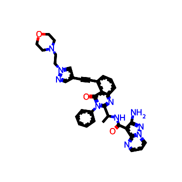 CC(NC(=O)c1c(N)nn2cccnc12)c1nc2cccc(C#Cc3cnn(CCN4CCOCC4)c3)c2c(=O)n1-c1ccccc1